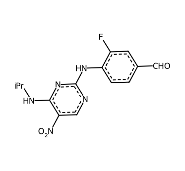 CC(C)Nc1nc(Nc2ccc(C=O)cc2F)ncc1[N+](=O)[O-]